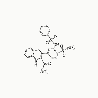 NC(=O)C1=C(c2ccc(S(N)(=O)=O)c(NS(=O)(=O)c3ccccc3)c2)Cc2ccccc2N1